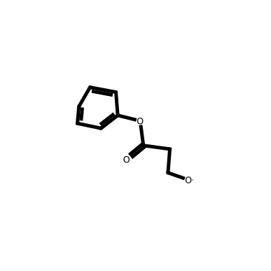 [O]CCC(=O)Oc1ccccc1